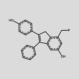 Oc1ccc(C2=C(c3ccccc3)c3cc(O)cc(CF)c3C2)cc1